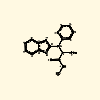 CCCCCCC(C(=O)NO)N(c1ccccn1)c1nc2ccccc2o1